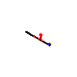 CCCCCCCCCCCCCCCCOCC(COCCCCCCC[n+]1ccsc1)OCC.CS(=O)(=O)[O-]